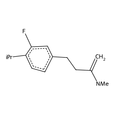 C=C(CCc1ccc(C(C)C)c(F)c1)NC